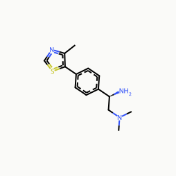 Cc1ncsc1-c1ccc([C@@H](N)CN(C)C)cc1